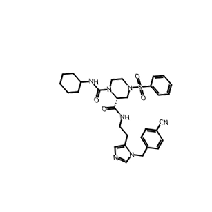 N#Cc1ccc(Cn2cncc2CCNC(=O)[C@H]2CN(S(=O)(=O)c3ccccc3)CCN2C(=O)NC2CCCCC2)cc1